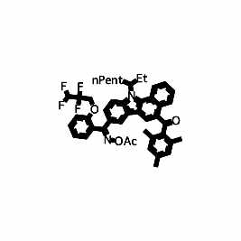 CCCCCC(CC)n1c2ccc(/C(=N\OC(C)=O)c3ccccc3OCC(F)(F)C(F)F)cc2c2cc(C(=O)c3c(C)cc(C)cc3C)c3ccccc3c21